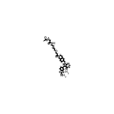 CC(=O)CN(C)CC(=O)NCCOCCOCCC(=O)N1CCc2cc(Cn3nc(-c4ccc5oc(N)nc5c4)c4c(N)ncnc43)ccc2C1